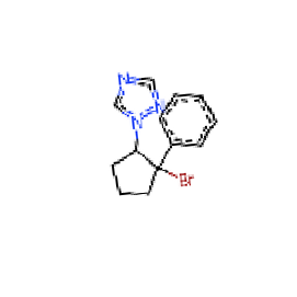 BrC1(c2ccccc2)CCCC1n1cncn1